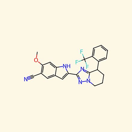 COc1cc2[nH]c(-c3nc4n(n3)CCCC4c3ccccc3C(F)(F)F)cc2cc1C#N